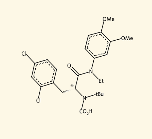 CCN(C(=O)[C@@H](Cc1ccc(Cl)cc1Cl)N(C(=O)O)C(C)(C)C)c1ccc(OC)c(OC)c1